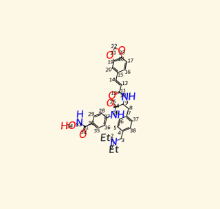 CCN(CC)Cc1ccc(CC(NC(=O)/C=C/c2ccc3c(c2)OCO3)C(=O)Nc2ccc(C(=O)NO)cc2)cc1